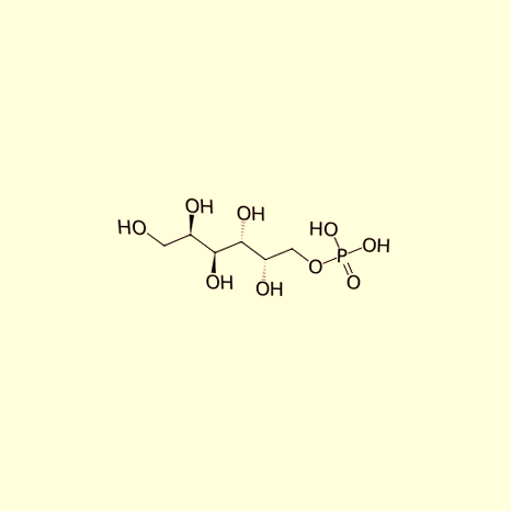 O=P(O)(O)OC[C@H](O)[C@@H](O)[C@@H](O)[C@H](O)CO